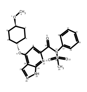 CO[C@H]1CC[C@H](Oc2cc(C(=O)N(c3ccccc3)S(C)(=O)=O)nc3[nH]ncc23)CC1